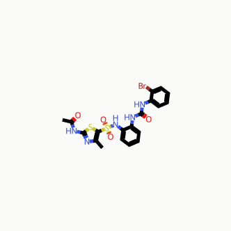 CC(=O)Nc1nc(C)c(S(=O)(=O)Nc2ccccc2NC(=O)Nc2ccccc2Br)s1